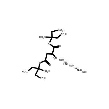 NC(CC(=O)OC(CC(=O)O)(CC(=O)O)C(=O)O)C(=O)OC(CC(=O)O)(CC(=O)O)C(=O)O.[NaH].[NaH].[NaH].[NaH].[NaH].[NaH].[NaH]